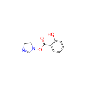 O=C(ON1C=NCC1)c1ccccc1O